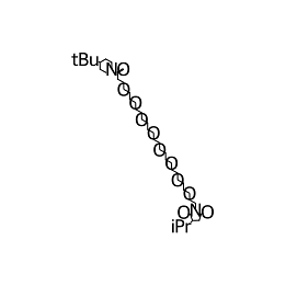 CC(C)C1CC(=O)N(CCOCCOCCOCCOCCOCCOCCOCCOCCC(=O)N2CCC(C(C)(C)C)CC2)C1=O